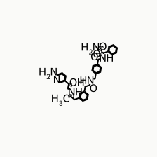 C[C@H](Cc1cccc(CC(=O)NCc2ccc(C(=O)NC(c3ccccc3)S(N)(=O)=O)cc2)c1)NC[C@H](O)c1ccc(N)nc1